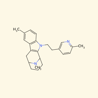 Cc1ccc2c(c1)c1c(n2CCc2ccc(C)nc2)C2CCCC(C1)N2C